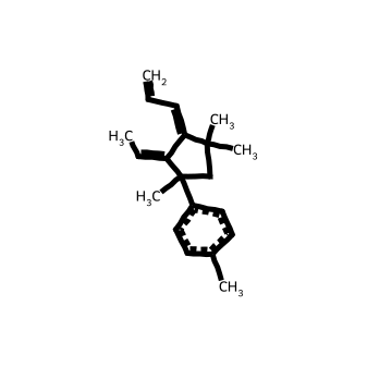 C=C/C=C1\C(=C/C)C(C)(c2ccc(C)cc2)CC1(C)C